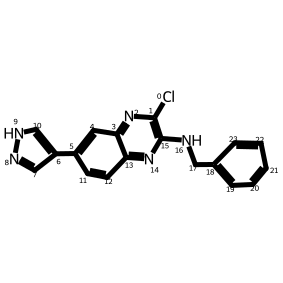 Clc1nc2cc(-c3cn[nH]c3)ccc2nc1NCc1ccccc1